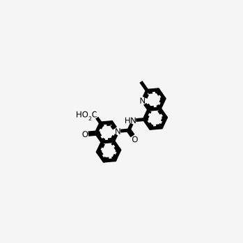 Cc1ccc2cccc(NC(=O)n3cc(C(=O)O)c(=O)c4ccccc43)c2n1